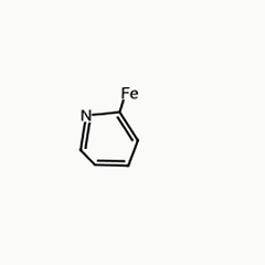 [Fe][c]1ccccn1